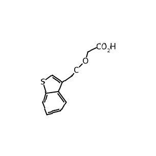 O=C(O)COCCc1csc2ccccc12